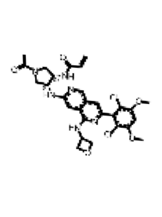 C=CC(=O)N[C@H]1CN(C(C)=O)C[C@H]1Nc1cc2c(NC3COC3)nc(-c3c(Cl)c(OC)cc(OC)c3Cl)cc2cn1